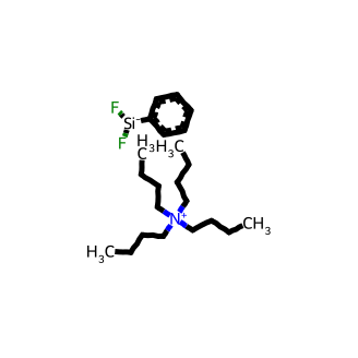 CCCC[N+](CCCC)(CCCC)CCCC.F[Si-](F)c1ccccc1